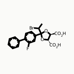 CC(Br)C1(c2ccc(-c3ccccc3)c(F)c2)O[C@@H](C(=O)O)[C@H](C(=O)O)O1